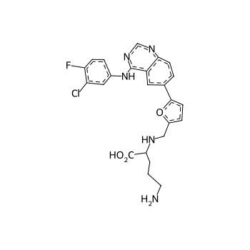 NCCCC(NCc1ccc(-c2ccc3ncnc(Nc4ccc(F)c(Cl)c4)c3c2)o1)C(=O)O